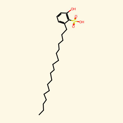 CCCCCCCCCCCCCCCCCCc1cccc(O)c1S(=O)(=O)O